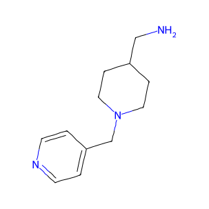 NCC1CCN(Cc2ccncc2)CC1